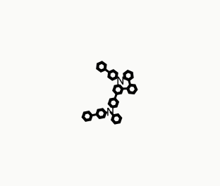 c1ccc(-c2ccc(N(c3ccccc3)c3ccc(-c4ccc5c(c4)-c4ccccc4-c4ccccc4N5c4ccc(-c5ccccc5)cc4)cc3)cc2)cc1